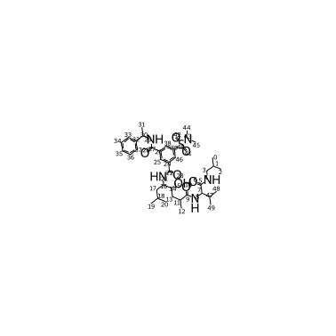 CC(C)CNC(=O)C(NC(=O)C(C)CC(O)C(CC(C)C)NC(=O)c1cc(C(=O)NC(C)c2ccccc2)cc(S(=O)(=O)N(C)C)c1)C(C)C